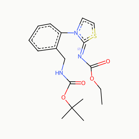 CCOC(=O)/N=c1\sccn1-c1ccccc1CNC(=O)OC(C)(C)C